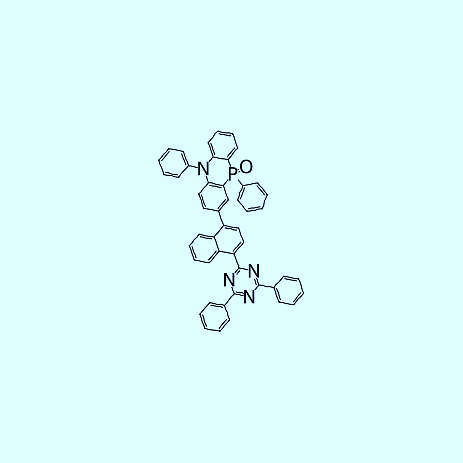 O=P1(c2ccccc2)c2ccccc2N(c2ccccc2)c2ccc(-c3ccc(-c4nc(-c5ccccc5)nc(-c5ccccc5)n4)c4ccccc34)cc21